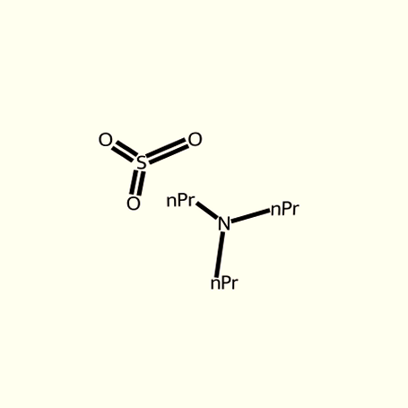 CCCN(CCC)CCC.O=S(=O)=O